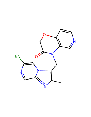 Cc1nc2cnc(Br)cn2c1CN1C(=O)COc2ccncc21